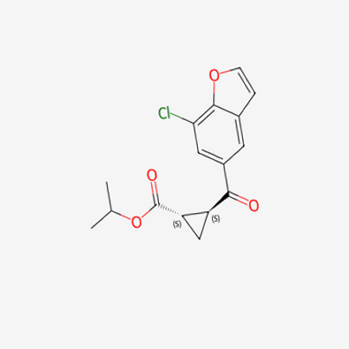 CC(C)OC(=O)[C@H]1C[C@@H]1C(=O)c1cc(Cl)c2occc2c1